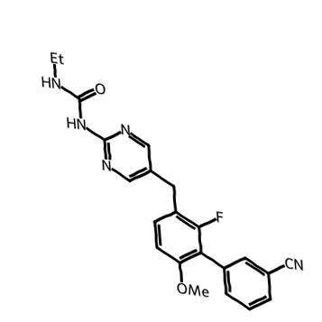 CCNC(=O)Nc1ncc(Cc2ccc(OC)c(-c3cccc(C#N)c3)c2F)cn1